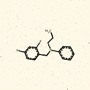 CCCN(Cc1ccc(F)cc1F)c1ccccc1